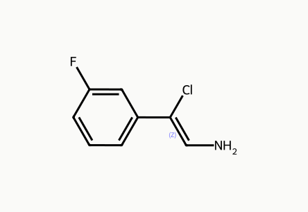 N/C=C(\Cl)c1cccc(F)c1